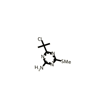 CSc1nc(N)nc(C(C)(C)Cl)n1